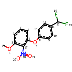 COc1cccc(Oc2ccc(C(F)F)cc2)c1[N+](=O)[O-]